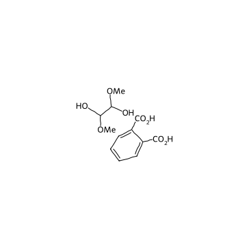 COC(O)C(O)OC.O=C(O)c1ccccc1C(=O)O